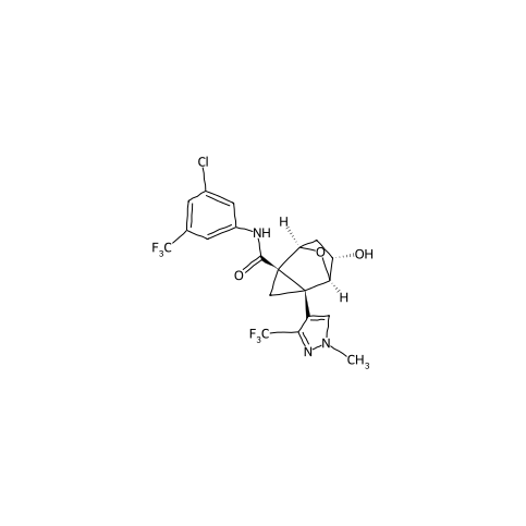 Cn1cc([C@@]23C[C@]2(C(=O)Nc2cc(Cl)cc(C(F)(F)F)c2)[C@H]2C[C@H](O)[C@@H]3O2)c(C(F)(F)F)n1